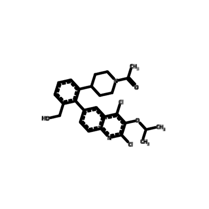 CC(=O)N1CCC(c2cccc(CO)c2-c2ccc3nc(Cl)c(OC(C)C)c(Cl)c3c2)CC1